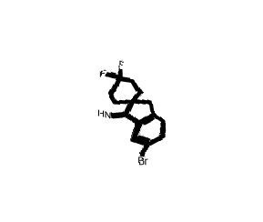 N=C1c2cc(Br)ccc2CC12CCC(F)(F)CC2